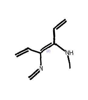 C=C/C(N=C)=C(\C=C)NC